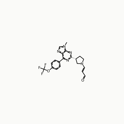 Cn1cnc2c(-c3ccc(OC(F)(F)F)cc3)nc([C@@H]3CCN(C=CC=O)C3)nc21